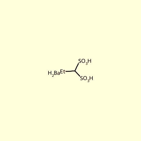 CCC(S(=O)(=O)O)S(=O)(=O)O.[BaH2]